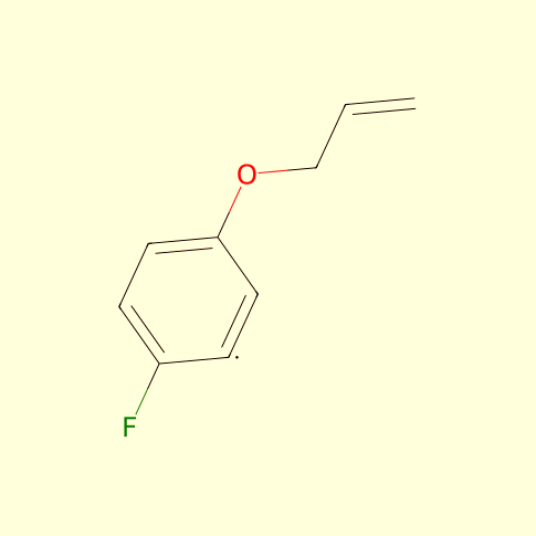 C=CCOc1c[c]c(F)cc1